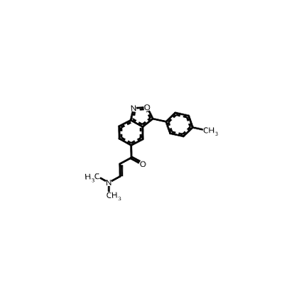 Cc1ccc(-c2onc3ccc(C(=O)/C=C/N(C)C)cc23)cc1